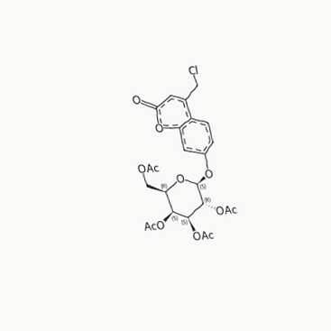 CC(=O)OC[C@H]1O[C@@H](Oc2ccc3c(CCl)cc(=O)oc3c2)[C@H](OC(C)=O)[C@@H](OC(C)=O)[C@H]1OC(C)=O